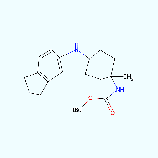 CC1(NC(=O)OC(C)(C)C)CCC(Nc2ccc3c(c2)CCC3)CC1